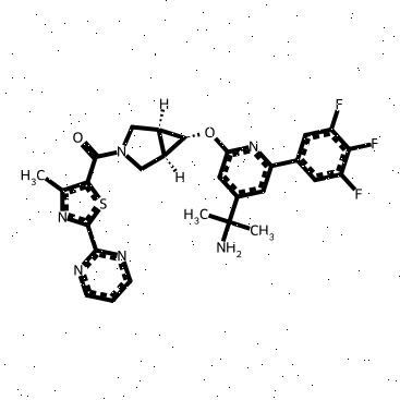 Cc1nc(-c2ncccn2)sc1C(=O)N1C[C@@H]2[C@H](C1)[C@H]2Oc1cc(C(C)(C)N)cc(-c2cc(F)c(F)c(F)c2)n1